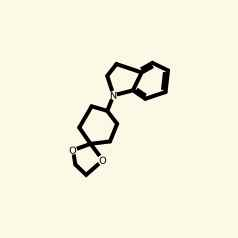 c1ccc2c(c1)CCN2C1CCC2(CC1)OCCO2